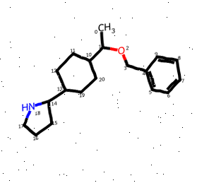 CC(OCc1ccccc1)C1CCC(C2CCCN2)CC1